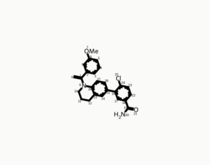 C=C(c1cccc(OC)c1)N1CCCc2cc(-c3cc(C(N)=O)ccc3Cl)ccc21